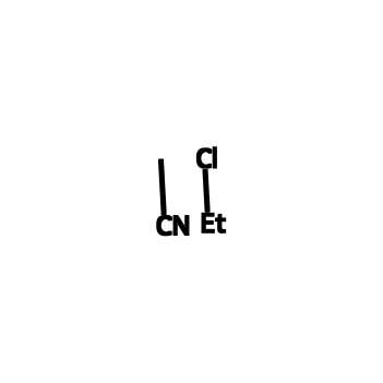 CC#N.CCCl